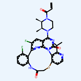 C=CC(=O)N1CCN(c2nc(=O)n3c4nc(c(F)cc24)-c2c(F)cccc2NC(=O)CSc2ccnc(C(C)C)c2-3)[C@@H](C)[C@H]1C